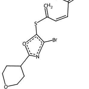 C=C(Cl)/C=C\C(=C)Sc1oc(C2CCOCC2)nc1Br